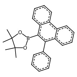 CC1(C)OB(c2c(-c3ccccc3)c3ccccc3c3ccccc23)OC1(C)C